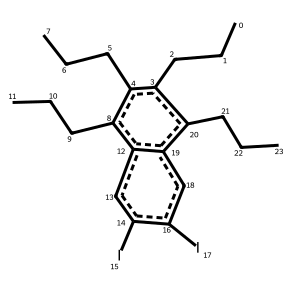 CCCc1c(CCC)c(CCC)c2cc(I)c(I)cc2c1CCC